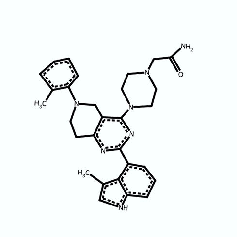 Cc1ccccc1N1CCc2nc(-c3cccc4[nH]cc(C)c34)nc(N3CCN(CC(N)=O)CC3)c2C1